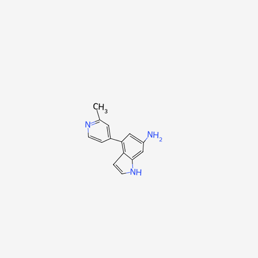 Cc1cc(-c2cc(N)cc3[nH]ccc23)ccn1